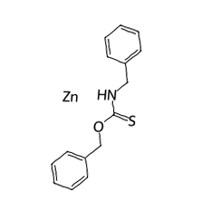 S=C(NCc1ccccc1)OCc1ccccc1.[Zn]